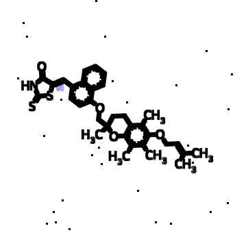 CC(C)=CCOc1c(C)c(C)c2c(c1C)CCC(C)(COc1ccc(/C=C3\SC(=S)NC3=O)c3ccccc13)O2